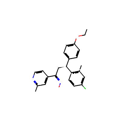 CCOc1ccc([C@H](CC(=NO)c2ccnc(C)c2)c2ccc(Cl)cc2C)cc1